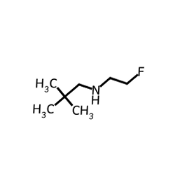 CC(C)(C)CNCCF